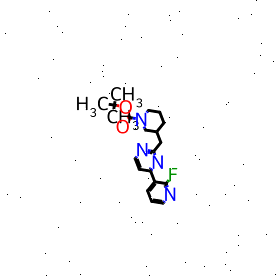 CC(C)(C)OC(=O)N1CCCC(Cc2nccc(-c3cccnc3F)n2)C1